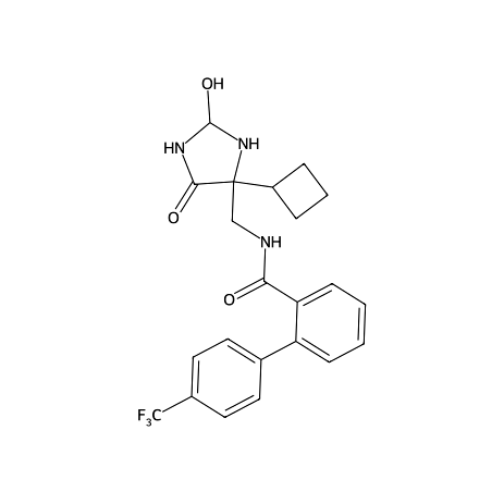 O=C(NCC1(C2CCC2)NC(O)NC1=O)c1ccccc1-c1ccc(C(F)(F)F)cc1